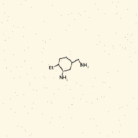 CCC1CCC(CN)CC1N